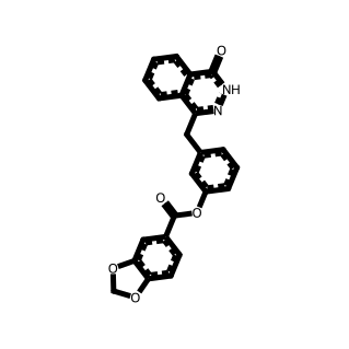 O=C(Oc1cccc(Cc2n[nH]c(=O)c3ccccc23)c1)c1ccc2c(c1)OCO2